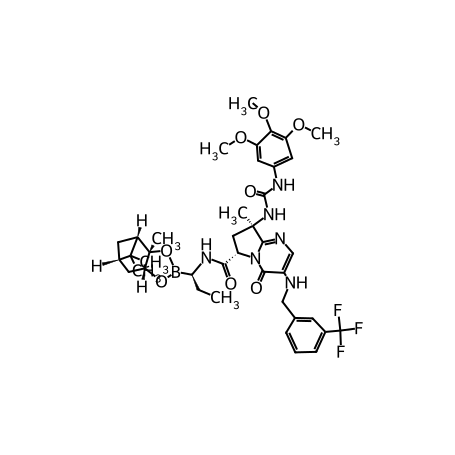 CC[C@H](NC(=O)[C@@H]1C[C@@](C)(NC(=O)Nc2cc(OC)c(OC)c(OC)c2)c2ncc(NCc3cccc(C(F)(F)F)c3)c(=O)n21)B1O[C@@H]2C[C@@H]3C[C@@H](C3(C)C)[C@]2(C)O1